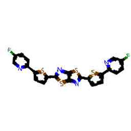 Fc1ccc(-c2ccc(-c3nc4sc(-c5ccc(-c6ccc(F)cn6)s5)nc4s3)s2)nc1